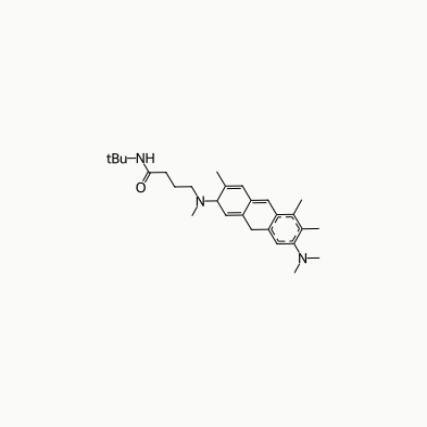 CC1=CC2=Cc3c(cc(N(C)C)c(C)c3C)CC2=CC1N(C)CCCC(=O)NC(C)(C)C